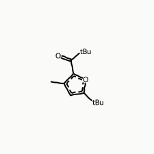 Cc1cc(C(C)(C)C)oc1C(=O)C(C)(C)C